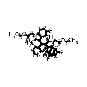 CCOC(=O)Cn1c(C)c(C(c2cccnc2S(=O)(=O)c2ccc(F)cc2)c2c(C)n(CC(=O)OCC)c3ccc(F)cc23)c2cc(F)ccc21